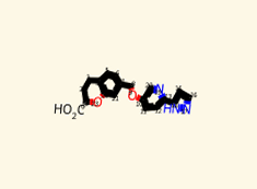 O=C(O)C1CCc2ccc(COc3ccc(-c4ccn[nH]4)nc3)cc2O1